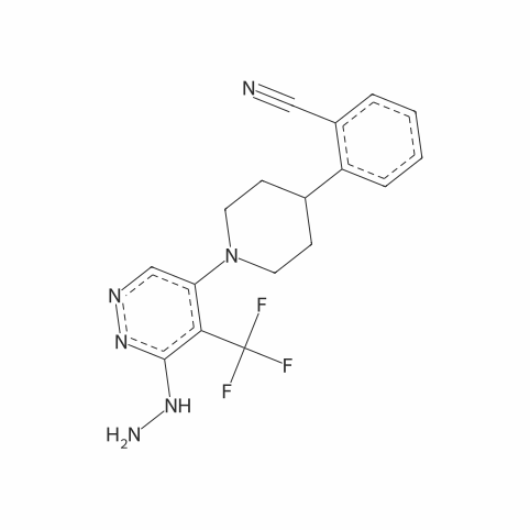 N#Cc1ccccc1C1CCN(c2cnnc(NN)c2C(F)(F)F)CC1